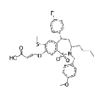 CCCCC1CC(c2ccc(F)cc2)c2cc(SC)c(O/C=C/C(=O)O)cc2S(=O)(=O)N1Cc1ccc(OC)cc1